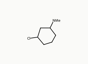 CNC1CCCC(Cl)C1